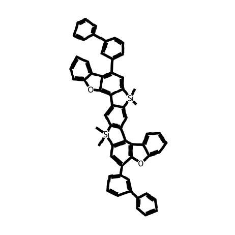 C[Si]1(C)c2cc3c(cc2-c2c1cc(-c1cccc(-c4ccccc4)c1)c1c2oc2ccccc21)[Si](C)(C)c1cc(-c2cccc(-c4ccccc4)c2)c2oc4ccccc4c2c1-3